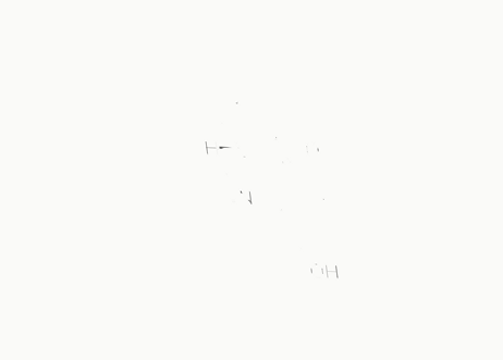 Cc1cc2c(cc1O)N=C[C@@H]1CCCC1C2=O